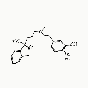 Cc1ccccc1C(C#N)(CCCN(C)CCc1ccc(O)c(O)c1)C(C)C